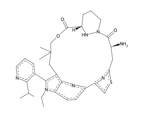 CCn1c(-c2cccnc2C(C)C)c2c3nc(ccc31)-c1csc(n1)C[C@H](N)C(=O)N1CCC[C@H](N1)C(=O)OCC(C)(C)C2